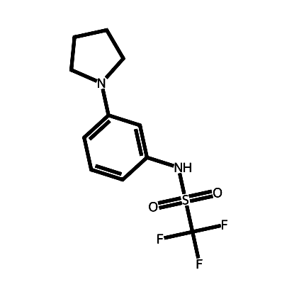 O=S(=O)(Nc1cccc(N2CCCC2)c1)C(F)(F)F